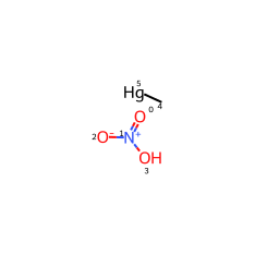 O=[N+]([O-])O.[CH3][Hg]